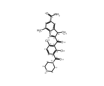 Cc1cc(C(N)=O)cc2c1N=C(C(=O)c1c(Cl)ccc(C(=O)N3CCOCC3)c1Cl)C2C